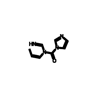 C/C=C\N(C=N)C(=O)n1ccnc1